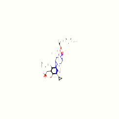 COCCOC(=O)N1CCN(c2nc(C3CC3)c3c(c2C#N)CC(C)(C)OC3)CC1C(C)C